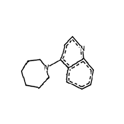 c1ccc2c(N3CCCCCC3)ccnc2c1